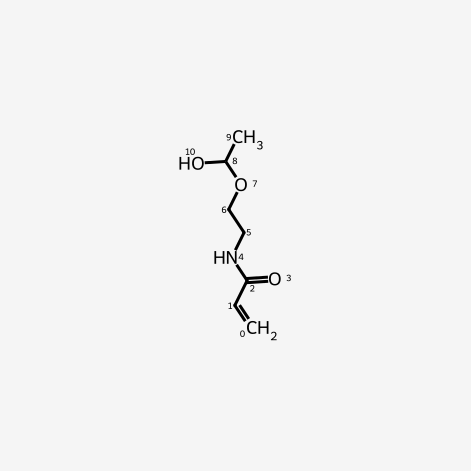 C=CC(=O)NCCOC(C)O